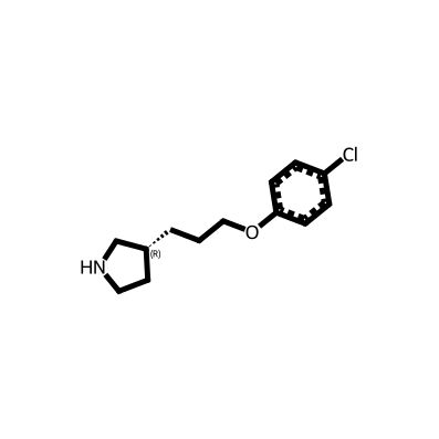 Clc1ccc(OCCC[C@@H]2CCNC2)cc1